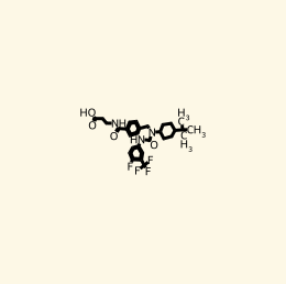 CC(C)(C)C1CCC(N(Cc2ccc(C(=O)NCCC(=O)O)cc2)C(=O)Nc2ccc(F)c(C(F)(F)F)c2)CC1